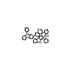 O=P1(c2ccccc2)c2ccccc2C2(c3ccccc3Sc3cc(-c4ccc5c6ccccc6n(-c6ccccc6)c5c4)ccc32)c2cc3c(cc21)oc1ccccc13